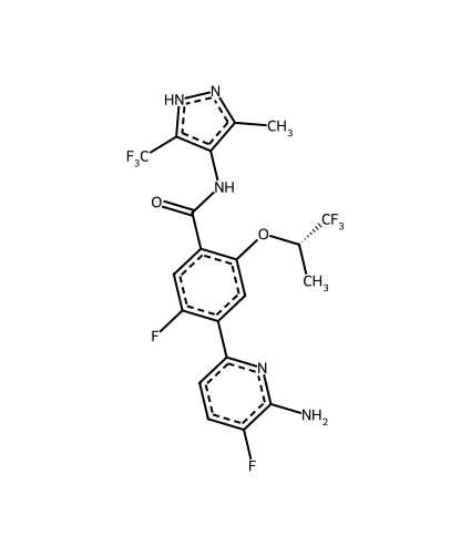 Cc1n[nH]c(C(F)(F)F)c1NC(=O)c1cc(F)c(-c2ccc(F)c(N)n2)cc1O[C@@H](C)C(F)(F)F